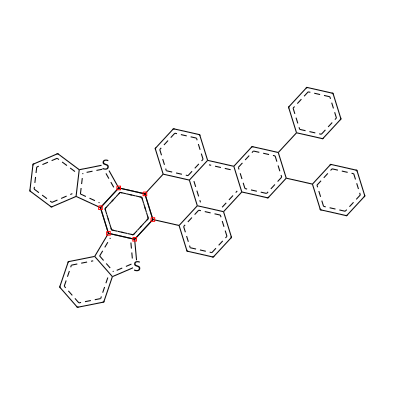 c1ccc(-c2cc3c(cc2-c2ccccc2)c2cccc(-c4cccc5c4sc4ccccc45)c2c2c(-c4cccc5c4sc4ccccc45)cccc32)cc1